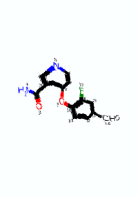 NC(=O)c1cnccc1Oc1ccc(C=O)cc1F